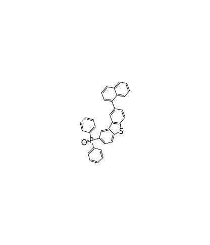 O=P(c1ccccc1)(c1ccccc1)c1ccc2sc3ccc(-c4cccc5ccccc45)cc3c2c1